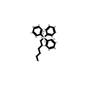 CCCCCCS(c1ccccc1)(c1ccccc1)c1ccccc1